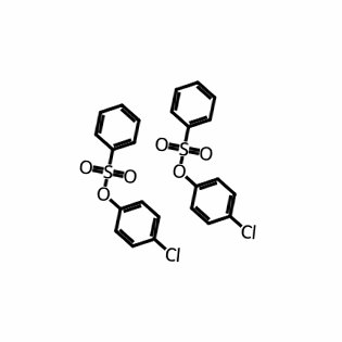 O=S(=O)(Oc1ccc(Cl)cc1)c1ccccc1.O=S(=O)(Oc1ccc(Cl)cc1)c1ccccc1